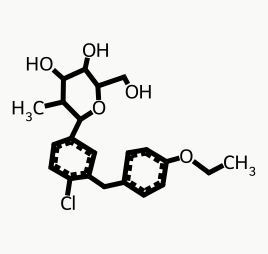 CCOc1ccc(Cc2cc(C3OC(CO)C(O)C(O)C3C)ccc2Cl)cc1